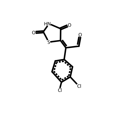 O=CC(=C1SC(=O)NC1=O)c1ccc(Cl)c(Cl)c1